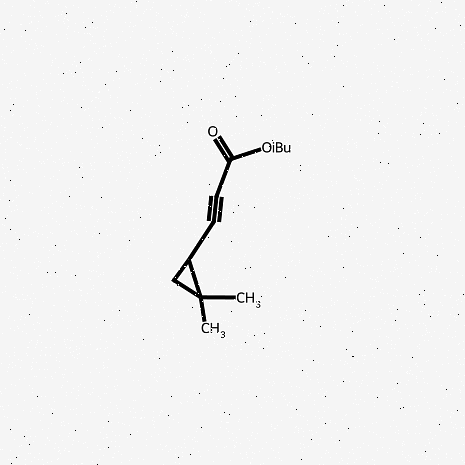 CC(C)COC(=O)C#CC1CC1(C)C